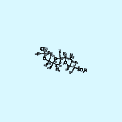 CC(F)(OC(F)(F)C(F)(F)S(=O)(=O)O)C(F)(F)OC(C)(F)C(F)(F)OC(F)(F)C(F)(F)F